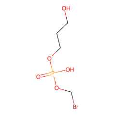 O=P(O)(OCBr)OCCCO